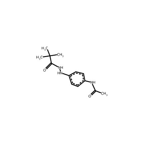 CC(=O)Nc1ccc(NNC(=O)C(C)(C)C)cc1